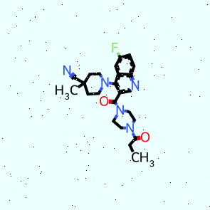 CCC(=O)N1CCN(C(=O)c2cnc3ccc(F)cc3c2N2CCC(C)(C#N)CC2)CC1